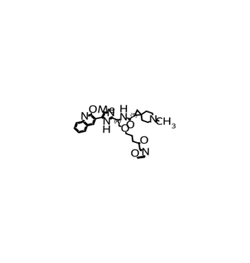 COc1nc2ccccc2cc1-c1cnc([C@H](COCCCC(=O)c2ncco2)NC(=O)[C@H]2CC23CCN(C)CC3)[nH]1